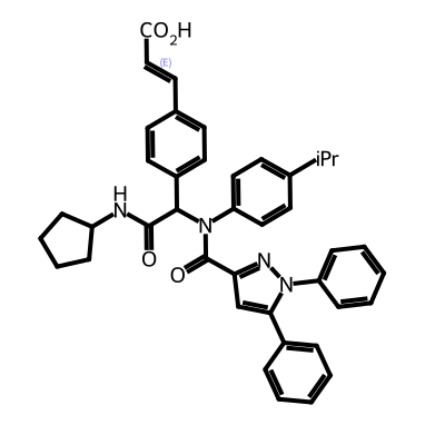 CC(C)c1ccc(N(C(=O)c2cc(-c3ccccc3)n(-c3ccccc3)n2)C(C(=O)NC2CCCC2)c2ccc(/C=C/C(=O)O)cc2)cc1